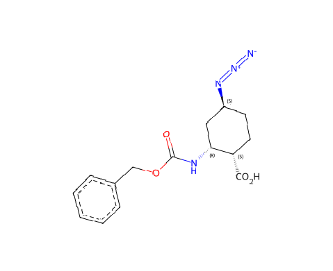 [N-]=[N+]=N[C@H]1CC[C@H](C(=O)O)[C@H](NC(=O)OCc2ccccc2)C1